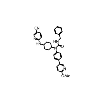 COc1ccc(-c2ccc(N(C(=O)NCc3ccccc3)C3CCC(Nc4ccc(C#N)cn4)CC3)cc2)cn1